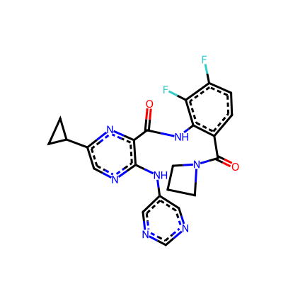 O=C(Nc1c(C(=O)N2CCC2)ccc(F)c1F)c1nc(C2CC2)cnc1Nc1cncnc1